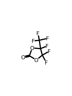 O=C1OC(F)(F)C(F)(C(F)(F)F)O1